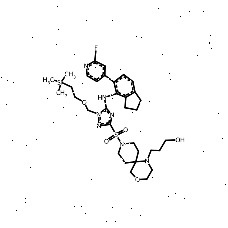 C[Si](C)(C)CCOCn1nc(S(=O)(=O)N2CCC3(CC2)COCCN3CCCO)nc1Nc1c(-c2ccnc(F)c2)ccc2c1CCC2